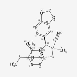 CCC12SS[C@@]3(C[C@](C)(C#N)[C@H](c4ccc5c(c4)OCO5)N3C1=O)C(=O)N2C